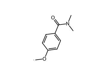 [CH2]Oc1ccc(C(=O)N(C)C)cc1